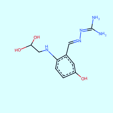 NC(N)=NN=Cc1cc(O)ccc1NCC(O)O